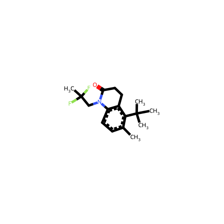 Cc1ccc2c(c1C(C)(C)C)CCC(=O)N2CC(C)(F)F